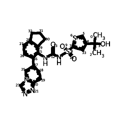 CC(C)(O)c1csc(S(=O)(=O)NC(=O)Nc2c(-c3ccc4nncn4c3)ccc3c2CCC3)c1